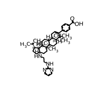 C=C(C)[C@@H]1CC[C@]2(NCCNc3ncccn3)CC[C@]3(C)[C@H](CC[C@@H]4[C@@]5(C)CC=C(c6ccc(C(=O)O)cc6)C(C)(C)[C@@H]5CC[C@]43C)[C@@H]12